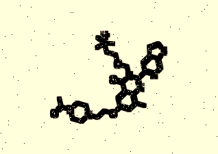 CC(=O)N1CCN(CCOc2cc(C)c3nc(-c4cc5ccsc5cn4)n(COCC[SH](C)(C)(C)C)c(=O)c3c2)CC1